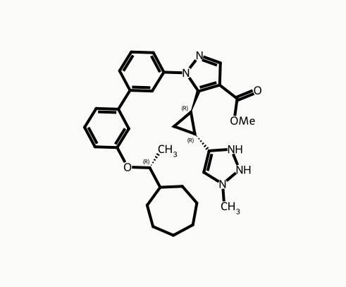 COC(=O)c1cnn(-c2cccc(-c3cccc(O[C@H](C)C4CCCCCC4)c3)c2)c1[C@@H]1C[C@H]1C1=CN(C)NN1